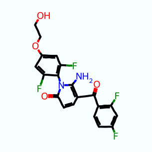 Nc1c(C(=O)c2ccc(F)cc2F)ccc(=O)n1-c1c(F)cc(OCCO)cc1F